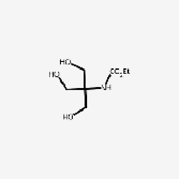 CCOC(=O)NC(CO)(CO)CO